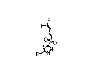 CCc1nnc(S(=O)(=O)CCC=C(F)F)s1